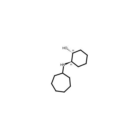 O[C@@H]1CCCC[C@H]1NC1CCCCCC1